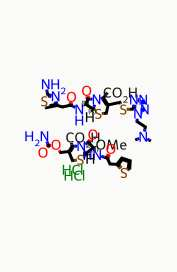 CN(C)CCn1nnnc1SCC1=C(C(=O)O)N2C(=O)[C@@H](NC(=O)Cc3csc(N)n3)[C@H]2SC1.CO[C@@]1(NC(=O)Cc2cccs2)C(=O)N2C(C(=O)O)=C(COC(N)=O)CS[C@@H]21.Cl.Cl